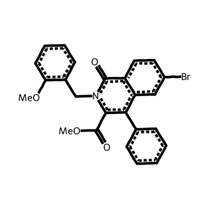 COC(=O)c1c(-c2ccccc2)c2cc(Br)ccc2c(=O)n1Cc1ccccc1OC